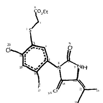 CCOC(=O)CSc1cc(N2C(=O)NC(=C(C)C)C2=O)c(F)cc1Cl